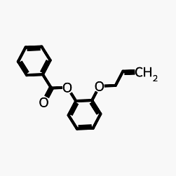 C=CCOc1ccccc1OC(=O)c1ccccc1